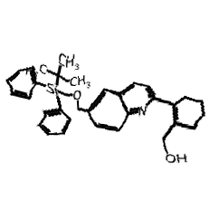 CC(C)(C)[Si](OCc1ccc2nc(C3=C(CO)CCCC3)ccc2c1)(c1ccccc1)c1ccccc1